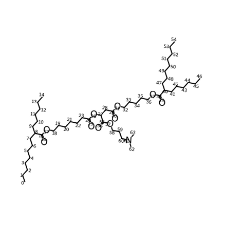 CCCCCCCCC(CCCCCC)C(=O)OCCCCCCC(=O)O[C@@H](CC(=O)OCCCCCOC(=O)C(CCCCCC)CCCCCCCC)C(=O)OCCCN(C)C